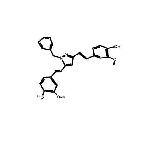 COc1cc(/C=C/c2cc(/C=C/c3ccc(O)c(OC)c3)n(Cc3ccccc3)n2)ccc1O